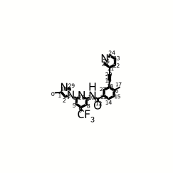 Cc1cn(-c2cc(C(F)(F)F)cc(NC(=O)c3ccc(C)c(C#Cc4cccnc4)c3)n2)cn1